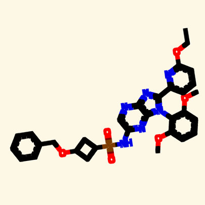 CCOc1cccc(-c2nc3ncc(NS(=O)(=O)C4CC(OCc5ccccc5)C4)nc3n2-c2c(OC)cccc2OC)n1